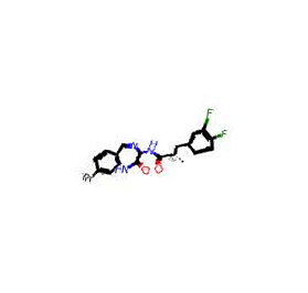 CC(C)c1ccc2c(c1)NC(=O)C(NC(=O)[C@@H](C)Cc1ccc(F)c(F)c1)N=C2